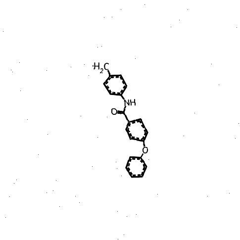 [CH2]c1ccc(NC(=O)c2ccc(Oc3ccccc3)cc2)cc1